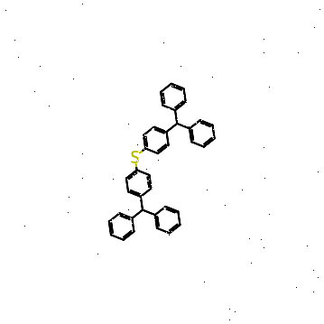 c1ccc(C(c2ccccc2)c2ccc(Sc3ccc(C(c4ccccc4)c4ccccc4)cc3)cc2)cc1